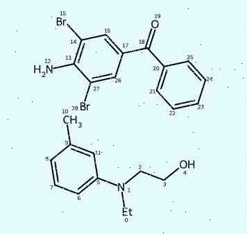 CCN(CCO)c1cccc(C)c1.Nc1c(Br)cc(C(=O)c2ccccc2)cc1Br